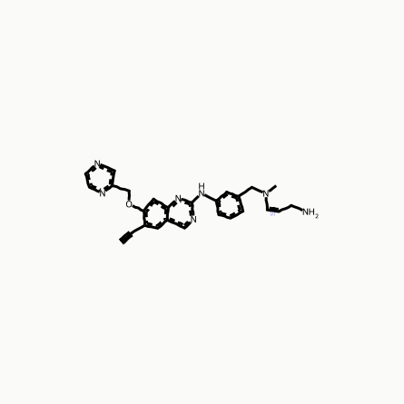 C#Cc1cc2cnc(Nc3cccc(CN(C)/C=C\CN)c3)nc2cc1OCc1cnccn1